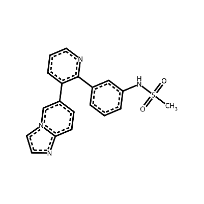 CS(=O)(=O)Nc1cccc(-c2ncccc2-c2ccc3nccn3c2)c1